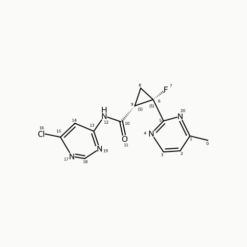 Cc1ccnc([C@]2(F)C[C@H]2C(=O)Nc2cc(Cl)ncn2)n1